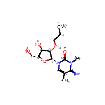 [2H]n1c(=N)c(C)cn([C@@H]2O[C@H](CO)[C@@H](O)[C@H]2OCCOC)c1=O